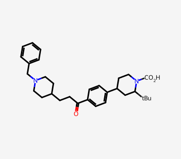 CC(C)(C)C1CC(c2ccc(C(=O)CCC3CCN(Cc4ccccc4)CC3)cc2)CCN1C(=O)O